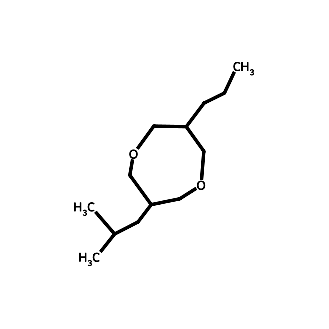 CCCC1COCC(CC(C)C)COC1